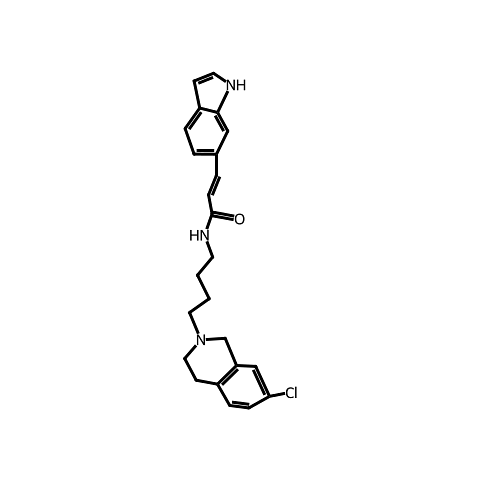 O=C(C=Cc1ccc2cc[nH]c2c1)NCCCCN1CCc2ccc(Cl)cc2C1